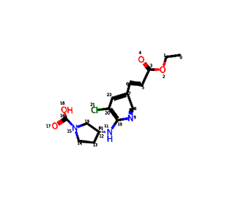 CCOC(=O)C=Cc1cnc(N[C@@H]2CCN(C(=O)O)C2)c(Cl)c1